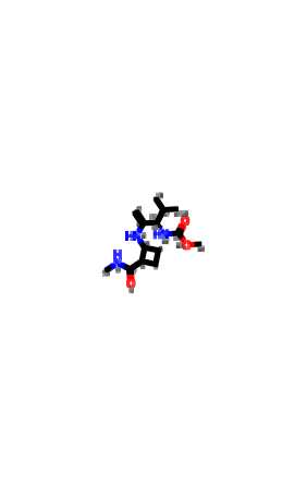 C=C(NC1CCC1C(=O)NC)[C@@H](NC(=O)OC)C(C)C